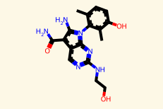 Cc1ccc(O)c(C)c1-n1c(N)c(C(N)=O)c2cnc(NCCO)nc21